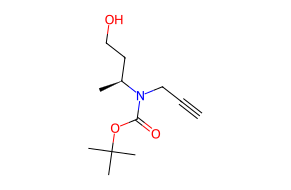 C#CCN(C(=O)OC(C)(C)C)[C@@H](C)CCO